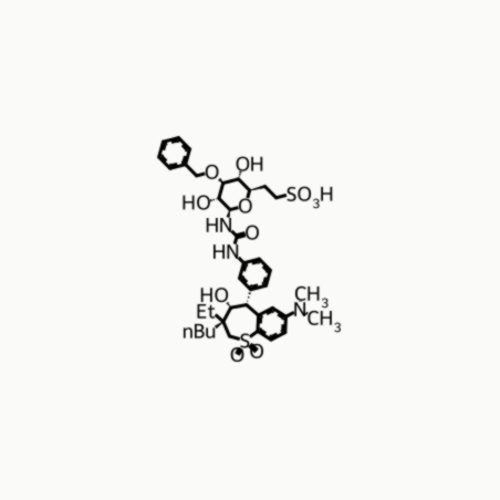 CCCC[C@]1(CC)CS(=O)(=O)c2ccc(N(C)C)cc2[C@@H](c2cccc(NC(=O)N[C@@H]3O[C@H](CCS(=O)(=O)O)[C@@H](O)[C@H](OCc4ccccc4)[C@H]3O)c2)[C@H]1O